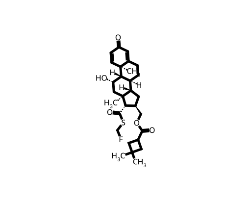 CC1(C)CC(C(=O)OC[C@@H]2C[C@H]3[C@@H]4CCC5=CC(=O)C=C[C@]5(C)[C@H]4[C@@H](O)C[C@]3(C)[C@H]2C(=O)SCF)C1